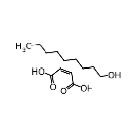 CCCCCCCCCO.O=C(O)/C=C\C(=O)O